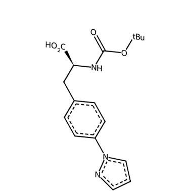 CC(C)(C)OC(=O)N[C@@H](Cc1ccc(-n2cccn2)cc1)C(=O)O